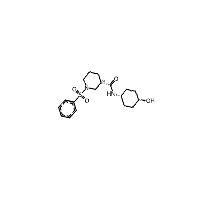 O=C(N[C@H]1CC[C@H](O)CC1)[C@H]1CCCN(S(=O)(=O)c2ccccc2)C1